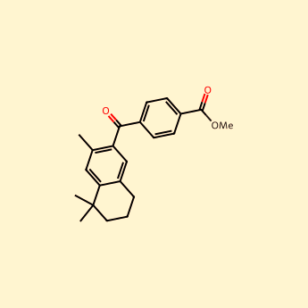 COC(=O)c1ccc(C(=O)c2cc3c(cc2C)C(C)(C)CCC3)cc1